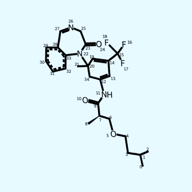 CC(C)CCOC[C@@H](C)C(=O)NC1=CC(C(F)(F)F)=CC(C)(N2C(=O)CN=Cc3ccccc32)C1